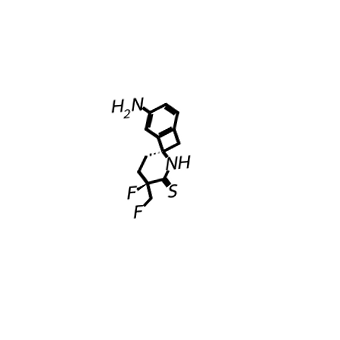 Nc1ccc2c(c1)[C@@]1(CC[C@@](F)(CF)C(=S)N1)C2